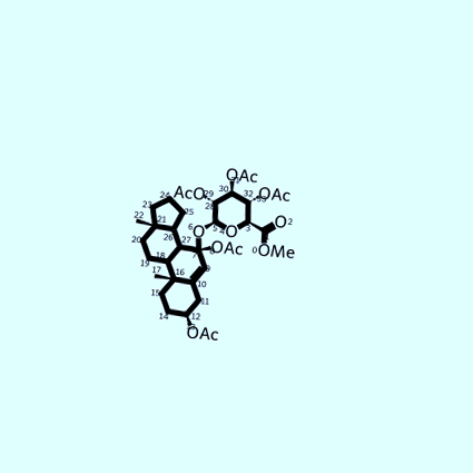 COC(=O)[C@H]1O[C@@H](O[C@]2(OC(C)=O)C=C3C[C@@H](OC(C)=O)CC[C@]3(C)C3CC[C@]4(C)CCCC4C32)[C@H](OC(C)=O)[C@@H](OC(C)=O)[C@@H]1OC(C)=O